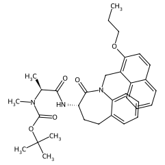 CCCOc1ccc2ccccc2c1CN1C(=O)[C@@H](NC(=O)[C@H](C)N(C)C(=O)OC(C)(C)C)CCc2ccccc21